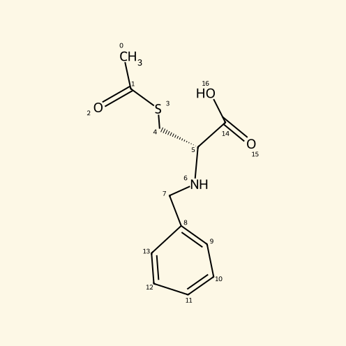 CC(=O)SC[C@@H](NCc1ccccc1)C(=O)O